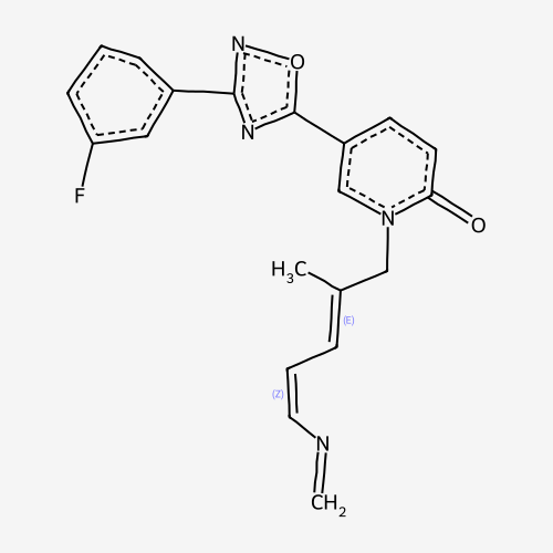 C=N/C=C\C=C(/C)Cn1cc(-c2nc(-c3cccc(F)c3)no2)ccc1=O